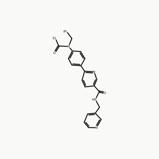 CCC(=O)N(CC(C)C)c1ccc(-c2ccc(C(=O)NCc3cccnc3)cn2)cc1